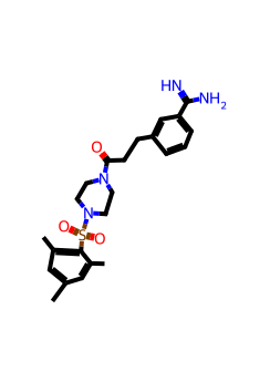 Cc1cc(C)c(S(=O)(=O)N2CCN(C(=O)CCc3cccc(C(=N)N)c3)CC2)c(C)c1